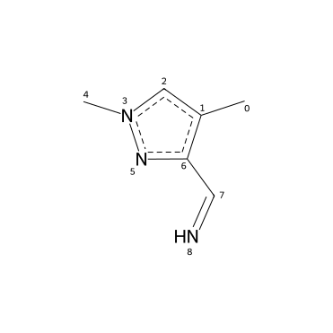 Cc1cn(C)nc1C=N